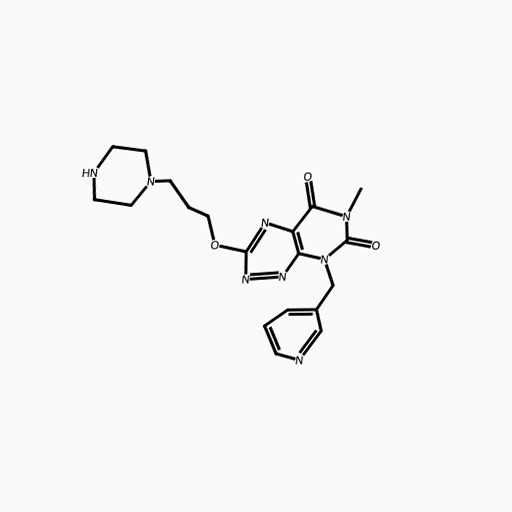 Cn1c(=O)c2nc(OCCCN3CCNCC3)nnc2n(Cc2cccnc2)c1=O